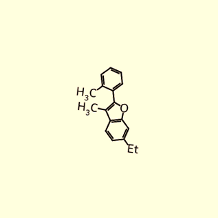 CCc1ccc2c(C)c(-c3ccccc3C)oc2c1